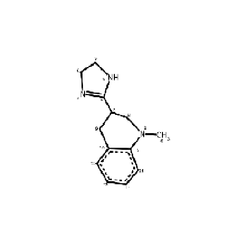 CN1CC(C2=NCCN2)Cc2ccccc21